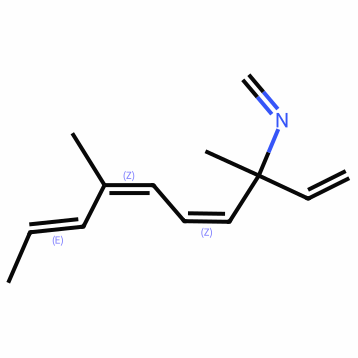 C=CC(C)(\C=C/C=C(C)\C=C\C)N=C